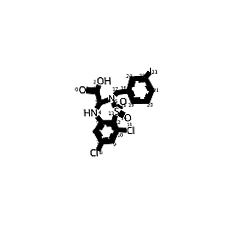 O=C(O)C1Nc2cc(Cl)cc(Cl)c2S(=O)(=O)N1Cc1cccc(I)c1